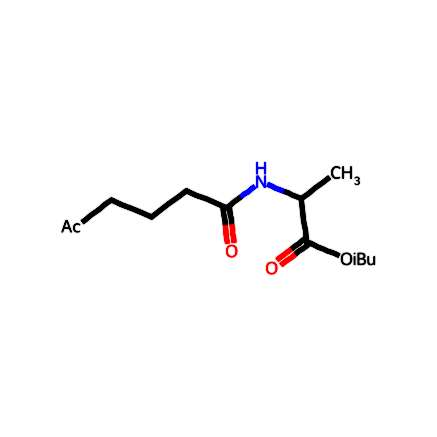 CC(=O)CCCC(=O)NC(C)C(=O)OCC(C)C